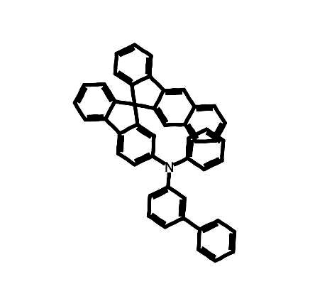 c1ccc(-c2cccc(N(c3ccccc3)c3ccc4c(c3)C3(c5ccccc5-4)c4ccccc4-c4cc5ccccc5cc43)c2)cc1